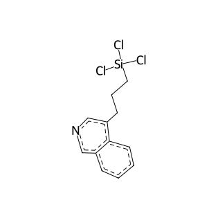 Cl[Si](Cl)(Cl)CCCc1cncc2ccccc12